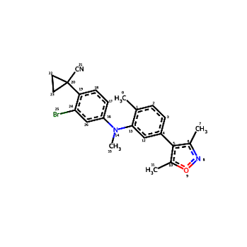 Cc1ccc(-c2c(C)noc2C)cc1N(C)c1ccc(C2(C#N)CC2)c(Br)c1